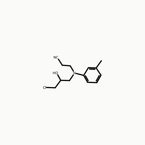 Cc1cccc(N(CCC#N)CC(O)CCl)c1